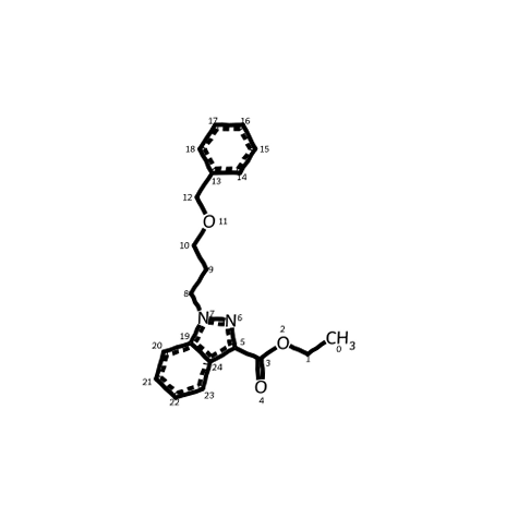 CCOC(=O)c1nn(CCCOCc2ccccc2)c2ccccc12